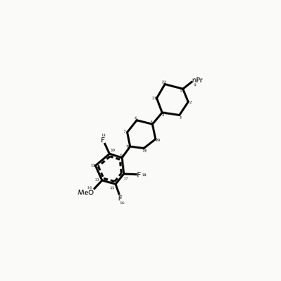 CCCC1CCC(C2CCC(c3c(F)cc(OC)c(F)c3F)CC2)CC1